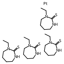 CCN1CCCCNC1=S.CCN1CCCCNC1=S.CCN1CCCCNC1=S.CCN1CCCCNC1=S.[Pt]